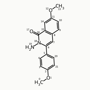 COc1ccc(-c2cc3ccc(OC)cc3c(=O)n2N)cc1